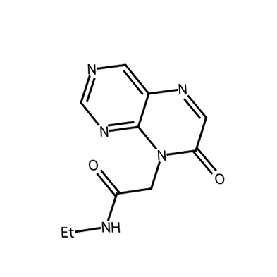 CCNC(=O)Cn1c(=O)cnc2cncnc21